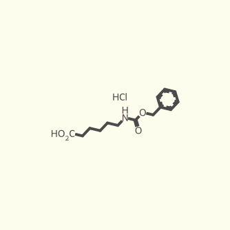 Cl.O=C(O)CCCCCNC(=O)OCc1ccccc1